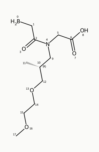 BCC(=O)N(CC(=O)O)C[C@@H](C)COCCOC